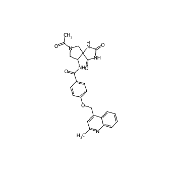 CC(=O)N1CC(NC(=O)c2ccc(OCc3cc(C)nc4ccccc34)cc2)C2(C1)NC(=O)NC2=O